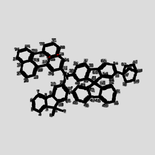 CC1(C)c2ccccc2-c2cc(N(c3cccc(-c4cccc5cccc(-c6ccccc6)c45)c3)c3ccc4c(c3)C3(c5ccccc5-c5ccccc53)c3cc(C56CCC(CC5)C6)ccc3-4)ccc21